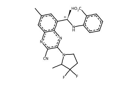 Cc1cc([C@@H](C)Nc2ccccc2C(=O)O)c2nc(N3CCC(F)(F)C3C)c(C#N)nc2c1